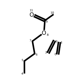 C=C.C=C.CCCCOC(C)=O